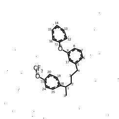 CC(CCCc1cccc(Oc2ccccc2)c1)c1ccc(OC(F)(F)F)cc1